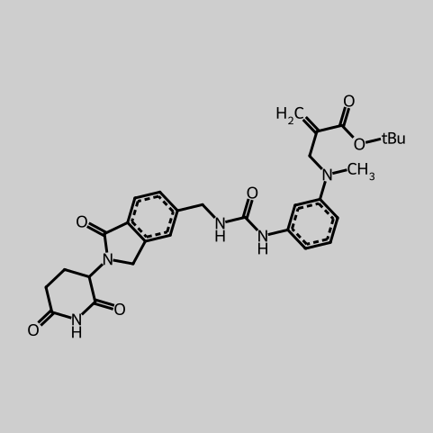 C=C(CN(C)c1cccc(NC(=O)NCc2ccc3c(c2)CN(C2CCC(=O)NC2=O)C3=O)c1)C(=O)OC(C)(C)C